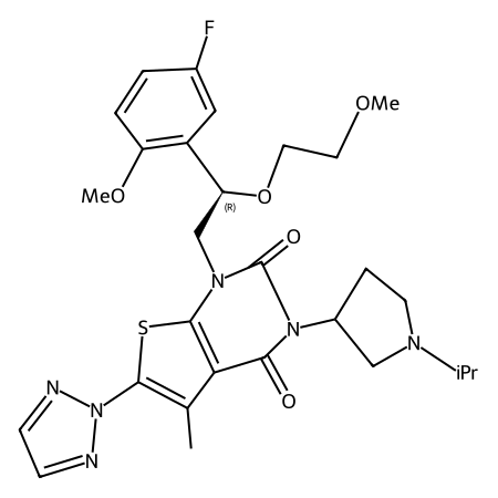 COCCO[C@@H](Cn1c(=O)n(C2CCN(C(C)C)C2)c(=O)c2c(C)c(-n3nccn3)sc21)c1cc(F)ccc1OC